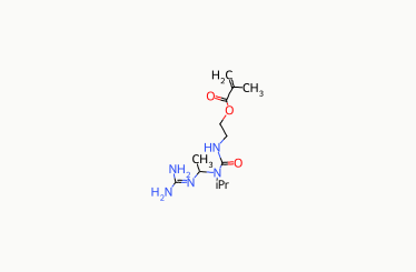 C=C(C)C(=O)OCCNC(=O)N(C(C)C)C(C)N=C(N)N